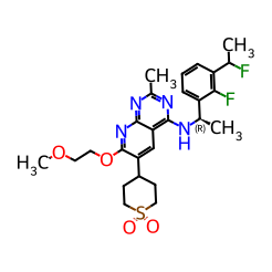 COCCOc1nc2nc(C)nc(N[C@H](C)c3cccc(C(C)F)c3F)c2cc1C1CCS(=O)(=O)CC1